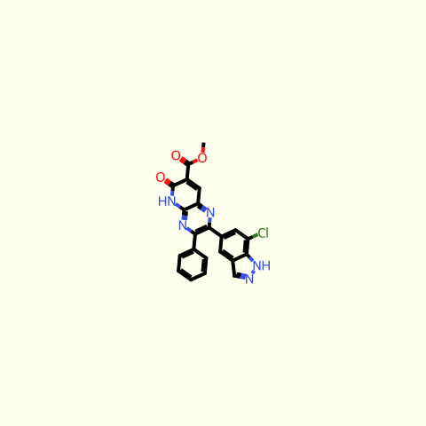 COC(=O)c1cc2nc(-c3cc(Cl)c4[nH]ncc4c3)c(-c3ccccc3)nc2[nH]c1=O